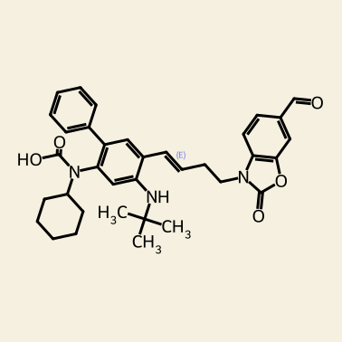 CC(C)(C)Nc1cc(N(C(=O)O)C2CCCCC2)c(-c2ccccc2)cc1/C=C/CCn1c(=O)oc2cc(C=O)ccc21